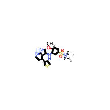 COc1ccc(S(=O)(=O)N(C)C)cc1Nc1c[nH]c2nccc(-c3ccsc3)c12